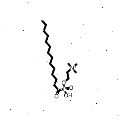 CCCCCCCCCCCCCC(=O)P(=O)(O)OCC[N+](C)(C)C